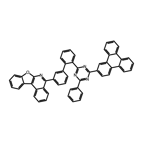 c1ccc(-c2nc(-c3ccc4c5ccccc5c5ccccc5c4c3)nc(-c3ccccc3-c3cccc(-c4nc5oc6ccccc6c5c5ccccc45)c3)n2)cc1